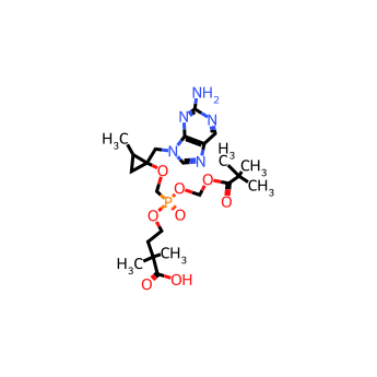 CC1CC1(Cn1cnc2cnc(N)nc21)OCP(=O)(OCCC(C)(C)C(=O)O)OCOC(=O)C(C)(C)C